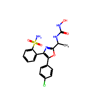 CC(NC(=O)NO)c1nc(-c2ccccc2S(N)(=O)=O)c(-c2ccc(Cl)cc2)o1